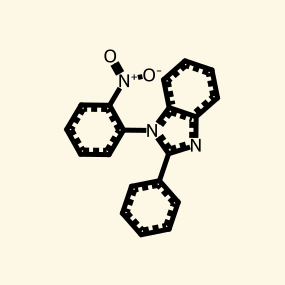 O=[N+]([O-])c1ccccc1-n1c(-c2ccccc2)nc2ccccc21